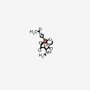 CC(=O)N1CC(OC(=O)O/C2=C(/NN)C(=O)N3CCOC[C@H]3/C=C\C2=O)C1